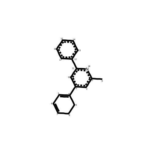 Cc1cc(C2=CC=CCC2)cc(-c2ccccc2)n1